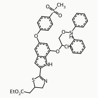 CCOC(=O)CC1CN=C(c2cc3cc(Oc4ccc(S(C)(=O)=O)cc4)cc(OC(C)CO[SiH](c4ccccc4)c4ccccc4)c3[nH]2)S1